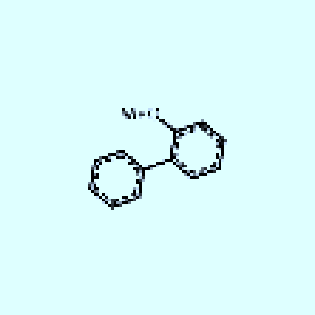 [CH2-][OH+]c1ccccc1-c1ccccc1